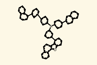 c1cc(-c2ccc(N(c3ccc(-c4ccc5ccccc5c4)cc3)c3cccc(-c4cccc5oc6c7ccccc7ccc6c45)c3)cc2)cc(-c2cccc3ccccc23)c1